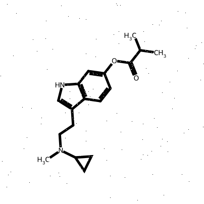 CC(C)C(=O)Oc1ccc2c(CCN(C)C3CC3)c[nH]c2c1